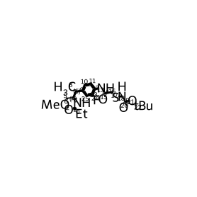 CCC(=O)N[C@@H](COC)[C@@H](C)c1ccc(NC(=O)CSNC(=O)OC(C)(C)C)c(F)c1